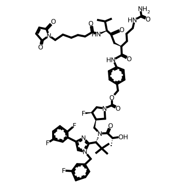 CC(C)[C@H](NC(=O)CCCCCN1C(=O)C=CC1=O)C(=O)C[C@@H](CCCNC(N)=O)C(=O)Nc1ccc(COC(=O)N2C[C@@H](CN(C(=O)[C@@H](C)O)[C@@H](c3nc(-c4cc(F)ccc4F)cn3Cc3cccc(F)c3)C(C)(C)C)[C@@H](F)C2)cc1